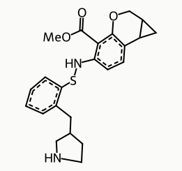 COC(=O)c1c(NSc2ccccc2CC2CCNC2)ccc2c1OCC1CC21